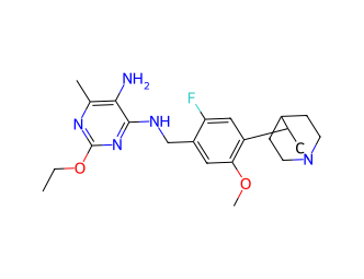 CCOc1nc(C)c(N)c(NCc2cc(OC)c(C3CN4CCC3CC4)cc2F)n1